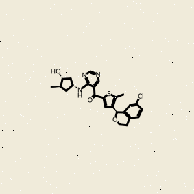 Cc1sc(C(=O)c2cncnc2N[C@@H]2C[C@@H](C)[C@H](O)C2)cc1[C@@H]1OCCc2ccc(Cl)cc21